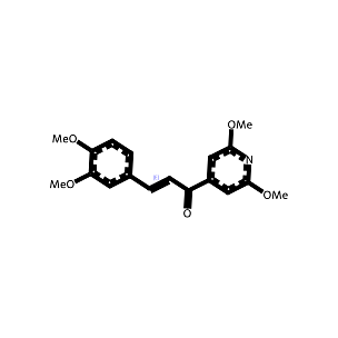 COc1cc(C(=O)/C=C/c2ccc(OC)c(OC)c2)cc(OC)n1